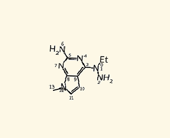 CCN(N)c1nc(N)nc2c1ccn2C